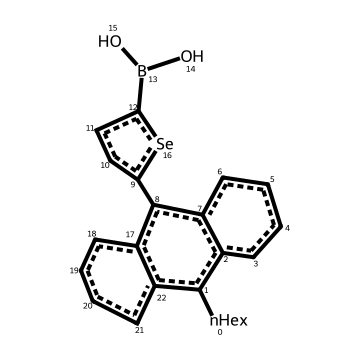 CCCCCCc1c2ccccc2c(-c2ccc(B(O)O)[se]2)c2ccccc12